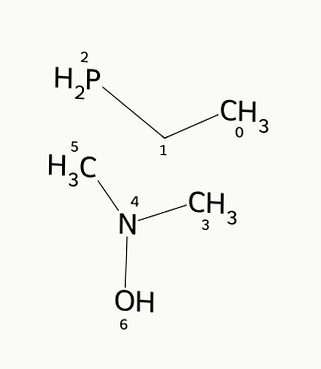 CCP.CN(C)O